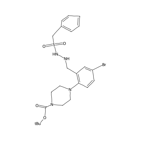 CC(C)(C)OC(=O)N1CCN(c2ccc(Br)cc2CNNS(=O)(=O)Cc2ccccc2)CC1